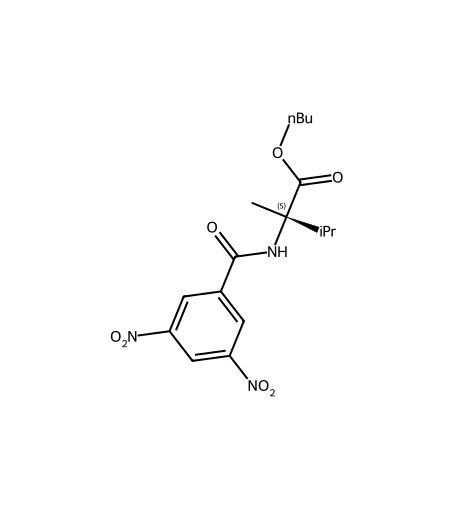 CCCCOC(=O)[C@@](C)(NC(=O)c1cc([N+](=O)[O-])cc([N+](=O)[O-])c1)C(C)C